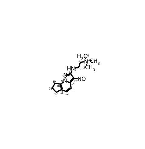 C[N+](C)(C)CCNc1nn2c3c(ccc2c1N=O)CCC3